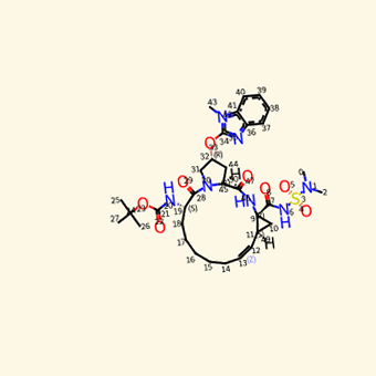 CN(C)S(=O)(=O)NC(=O)[C@@]12C[C@H]1/C=C\CCCCC[C@H](NC(=O)OC(C)(C)C)C(=O)N1C[C@H](Oc3nc4ccccc4n3C)C[C@H]1C(=O)N2